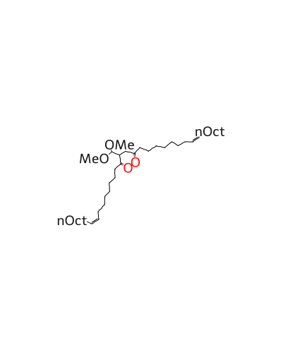 CCCCCCCC/C=C\CCCCCCCC(=O)CC(C(=O)CCCCCCC/C=C\CCCCCCCC)C(OC)OC